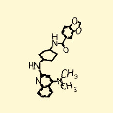 CN(C)c1cc(NC2CCC(NC(=O)c3ccc4c(c3)OCO4)CC2)nc2ccccc12